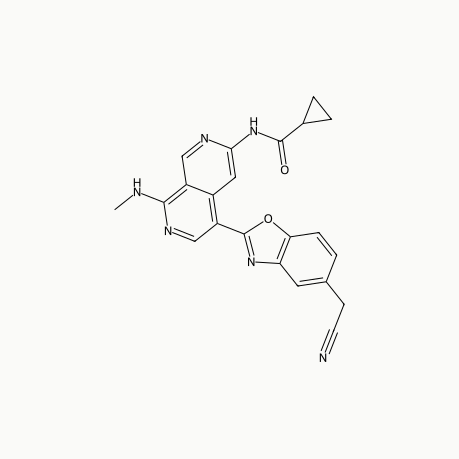 CNc1ncc(-c2nc3cc(CC#N)ccc3o2)c2cc(NC(=O)C3CC3)ncc12